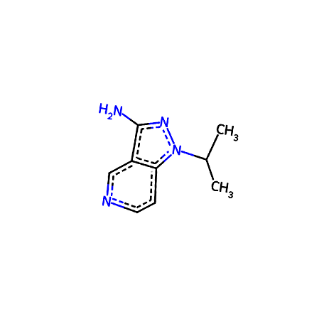 CC(C)n1nc(N)c2cnccc21